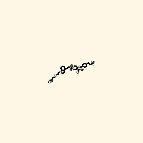 O=C1NC(C2CCC(CCC(F)(F)F)CC2)=NC12CCN(S(=O)(=O)CCc1cccc3c1ccn3CCOCCCCO)CC2